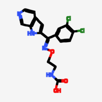 O=C(O)NCCO/N=C(\c1ccc(Cl)c(Cl)c1)c1cc2ccncc2[nH]1